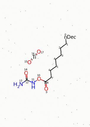 CCCCCCCCCCCCCCCCCC(=O)ONC(N)=O.[O]=[Ti]=[O]